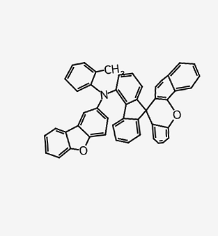 Cc1ccccc1N(c1ccc2oc3ccccc3c2c1)c1cccc2c1-c1ccccc1C21c2ccccc2Oc2c1ccc1ccccc21